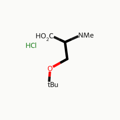 CNC(COC(C)(C)C)C(=O)O.Cl